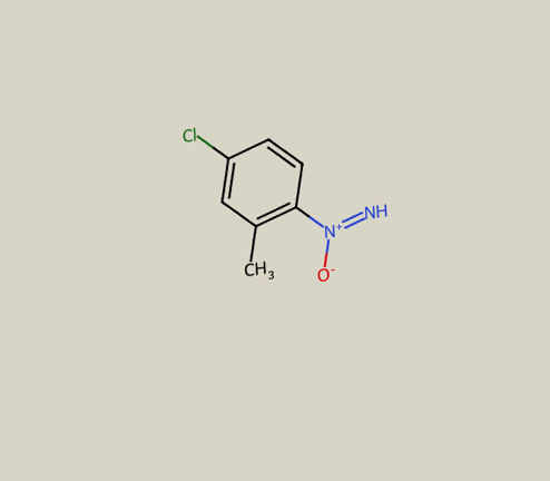 Cc1cc(Cl)ccc1[N+](=N)[O-]